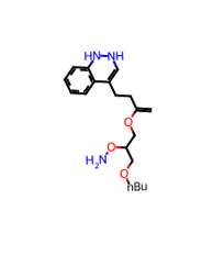 C=C(CCC1=CNNc2ccccc21)OCC(COCCCC)ON